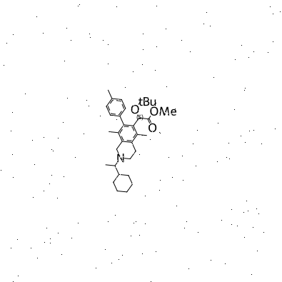 COC(=O)[C@@H](OC(C)(C)C)c1c(C)c2c(c(C)c1-c1ccc(C)cc1)CN(C(C)C1CCCCC1)CC2